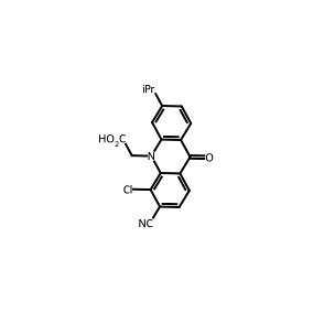 CC(C)c1ccc2c(=O)c3ccc(C#N)c(Cl)c3n(CC(=O)O)c2c1